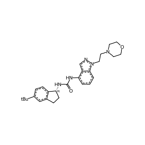 CC(C)(C)c1ccc2c(c1)CC[C@H]2NC(=O)Nc1cccc2c1cnn2CCN1CCOCC1